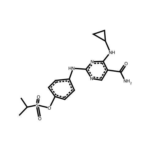 CC(C)S(=O)(=O)Oc1ccc(Nc2ncc(C(N)=O)c(NC3CC3)n2)cc1